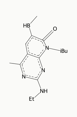 CBc1cc2c(C)nc(NCC)nc2n(C(C)CC)c1=O